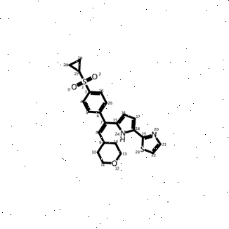 O=S(=O)(c1ccc(C(=CC2CCOCC2)c2ccc(-c3nccs3)[nH]2)cc1)C1CC1